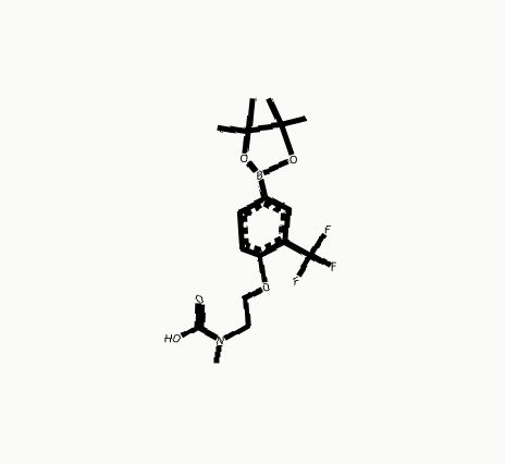 CN(CCOc1ccc(B2OC(C)(C)C(C)(C)O2)cc1C(F)(F)F)C(=O)O